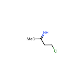 COC(=N)CCCl